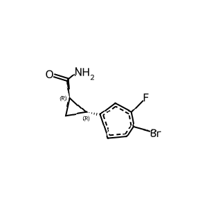 NC(=O)[C@@H]1C[C@H]1c1ccc(Br)c(F)c1